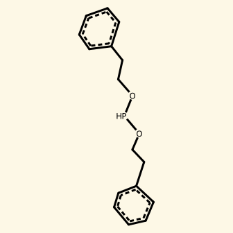 c1ccc(CCOPOCCc2ccccc2)cc1